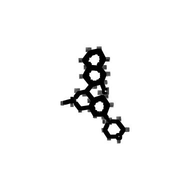 CN1Cc2cc(N3CCOCC3)ccc2C(c2cc3ccccc3cc2Cl)C1